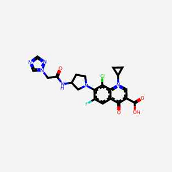 O=C(Cn1cncn1)NC1CCN(c2c(F)cc3c(=O)c(C(=O)O)cn(C4CC4)c3c2Cl)C1